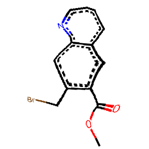 COC(=O)c1cc2cccnc2cc1CBr